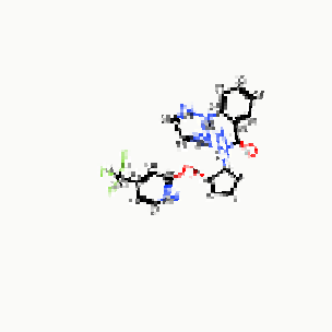 O=C(N[C@H]1CCC[C@@H]1Oc1cc(C(F)(F)F)ccn1)c1ccccc1-n1nccn1